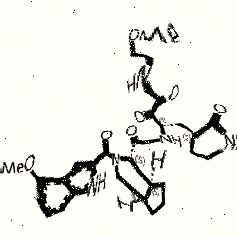 COCCNC(=O)C(=O)[C@H](C[C@@H]1CCNC1=O)NC(=O)[C@@H]1[C@H]2CCC[C@H]2CN1C(=O)c1cc2c(OC)cccc2[nH]1